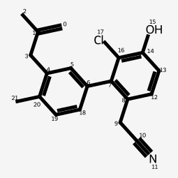 C=C(C)Cc1cc(-c2c(CC#N)ccc(O)c2Cl)ccc1C